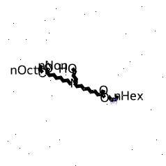 CCCCCC/C=C\COC(=O)CCCCCCCN(CCCO)CCCCCCCC(=O)OC(CCCCCCCC)CCCCCCCCC